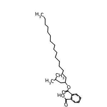 CCCCCCCCCCCCCCCCC(CC(C)C)OC(=O)c1ccccc1C(=O)O